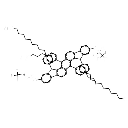 CCCCCCCCCCc1ccc(C2c3cc(OSOOC(F)(F)F)ccc3-c3ccc4c(-c5ccc(CCCC)cc5)c5c6c(ccc5c(-c5ccc(CCCC)cc5)c4c32)-c2ccc(OS(=O)(=O)C(F)(F)F)cc2C6c2ccc(CCCCCCCCCC)cc2)cc1